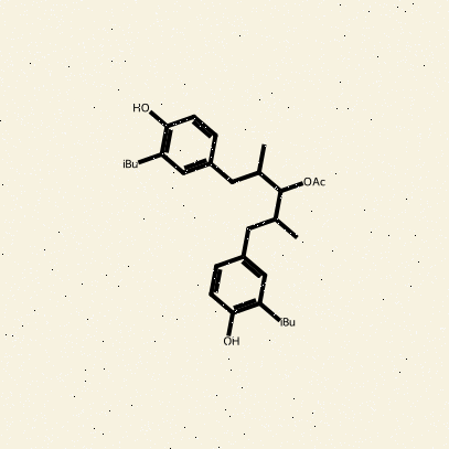 CCC(C)c1cc(CC(C)C(OC(C)=O)C(C)Cc2ccc(O)c(C(C)CC)c2)ccc1O